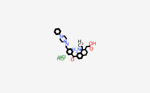 CCC1(N)c2cc(C(=O)c3ccc(C=NN4CCN(c5ccccc5)CC4)cc3)ccc2CCC1CC(=O)O.Cl.Cl